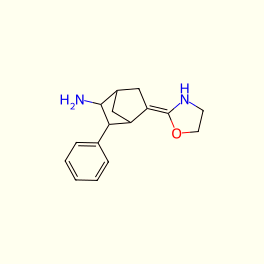 NC1C2CC(=C3NCCO3)C(C2)C1c1ccccc1